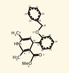 COC(=O)C1=C(C)NC(C)=C[C@H]1c1ccccc1OCc1ccccc1